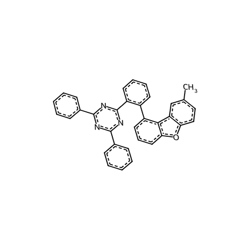 Cc1ccc2oc3cccc(-c4ccccc4-c4nc(-c5ccccc5)nc(-c5ccccc5)n4)c3c2c1